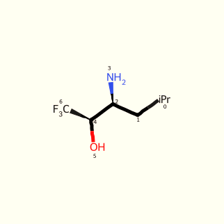 CC(C)C[C@H](N)[C@@H](O)C(F)(F)F